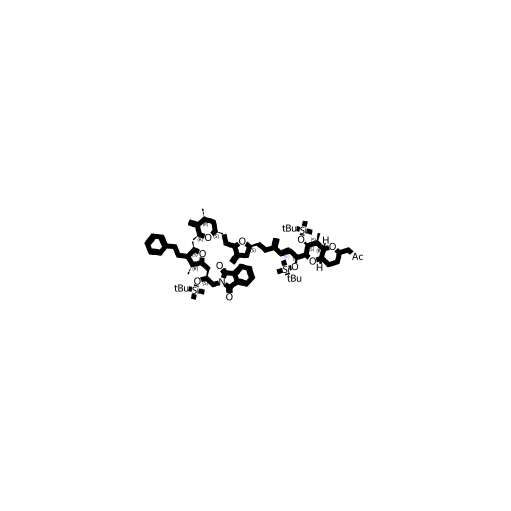 C=C(/C=C/[C@H](O[Si](C)(C)C(C)(C)C)C1O[C@H]2CCC(CC(C)=O)O[C@@H]2[C@H](C)[C@@H]1O[Si](C)(C)C(C)(C)C)CC[C@H]1CC(=C)C(CC[C@H]2C[C@@H](C)C(=C)[C@@H](C[C@@H]3OC(C[C@@H](CN4C(=O)c5ccccc5C4=O)O[Si](C)(C)C(C)(C)C)[C@H](C)C3CCc3ccccc3)O2)O1